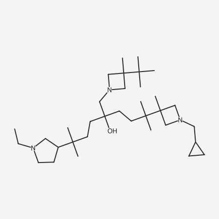 CCN1CCC(C(C)(C)CCC(O)(CCC(C)(C)C2(C)CN(CC3CC3)C2)CN2CC(C)(C(C)(C)C)C2)C1